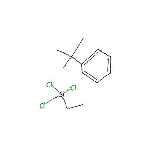 CC(C)(C)c1ccccc1.CC[Si](Cl)(Cl)Cl